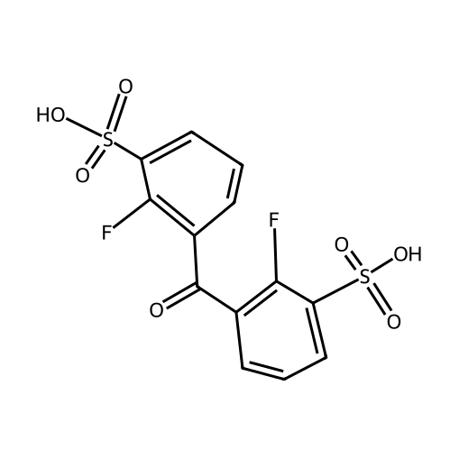 O=C(c1cccc(S(=O)(=O)O)c1F)c1cccc(S(=O)(=O)O)c1F